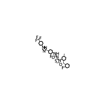 Cc1ccc(Cc2ccccc2F)c(N2C(=O)CS/C2=N\C(=O)Nc2ccc(-c3ncn(-c4ccc(C(F)(F)F)cc4)n3)cc2F)c1